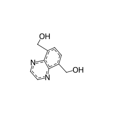 OCc1ccc(CO)c2nccnc12